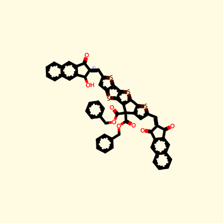 O=C1C(=Cc2cc3c(s2)-c2sc4c(sc5cc(/C=C6/C(=O)c7cc8ccccc8cc7C6O)sc54)c2C3(C(=O)OCc2ccccc2)C(=O)OCc2ccccc2)C(=O)c2cc3ccccc3cc21